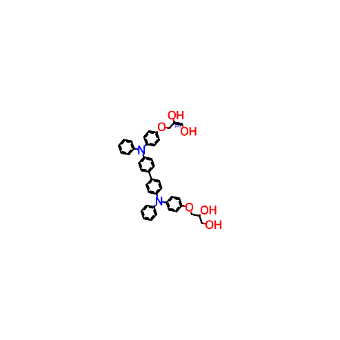 O/C=C(/O)COc1ccc(N(c2ccccc2)c2ccc(-c3ccc(N(c4ccccc4)c4ccc(OCC(O)CO)cc4)cc3)cc2)cc1